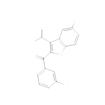 CCOC(=O)C(C(=O)OCC)c1c(C(=O)c2cccc(Cl)c2)[nH]c2ccc(F)cc12